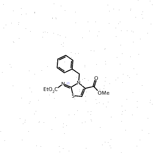 CCOC(=O)/N=c1\scc(C(=O)OC)n1Cc1ccccc1